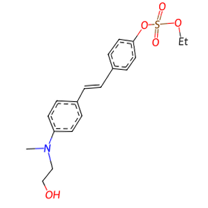 CCOS(=O)(=O)Oc1ccc(C=Cc2ccc(N(C)CCO)cc2)cc1